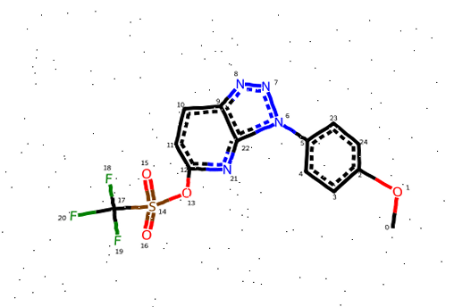 COc1ccc(-n2nnc3ccc(OS(=O)(=O)C(F)(F)F)nc32)cc1